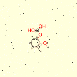 COc1c(C)cccc1OB(O)O